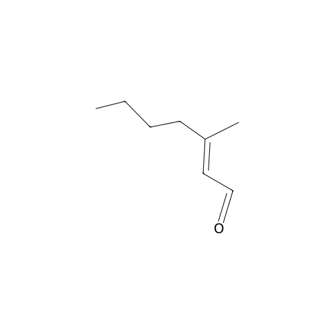 CCCCC(C)=CC=O